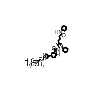 C[Si](C)(C)CCOCn1cc(-c2cccc(C(=O)Nc3nc(CCCC(=O)Nc4ccccc4)cn3-c3ccccc3)c2)cn1